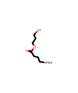 CCCCCCCCCC(=O)OCCCS